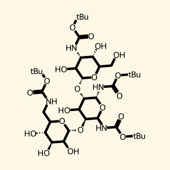 CC(C)(C)OC(=O)NCC1O[C@H](O[C@@H]2C(NC(=O)OC(C)(C)C)O[C@@H](NC(=O)OC(C)(C)C)[C@@H](O[C@H]3OC(CO)[C@@H](O)[C@@H](NC(=O)OC(C)(C)C)C3O)C2O)C(O)[C@@H](O)[C@@H]1O